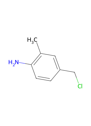 Cc1cc(CCl)ccc1N